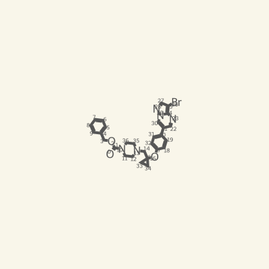 O=C(OCc1ccccc1)N1CCN(CC2(Oc3ccc(-c4cnc5c(Br)cnn5c4)cc3)CC2)CC1